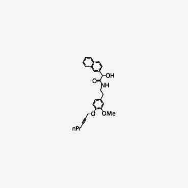 CCCC#CCOc1ccc(CCNC(=O)C(O)c2ccc3ccccc3c2)cc1OC